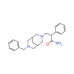 NC(=O)C(CN1CC2CC(CN(Cc3ccccc3)C2)C1)c1ccccc1